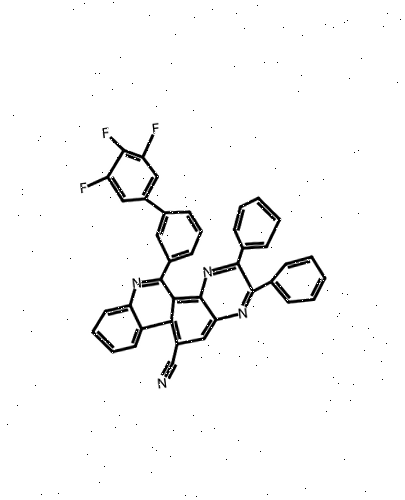 N#Cc1cc2nc(-c3ccccc3)c(-c3ccccc3)nc2c2c(-c3cccc(-c4cc(F)c(F)c(F)c4)c3)nc3ccccc3c12